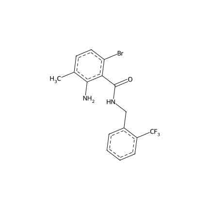 Cc1ccc(Br)c(C(=O)NCc2ccccc2C(F)(F)F)c1N